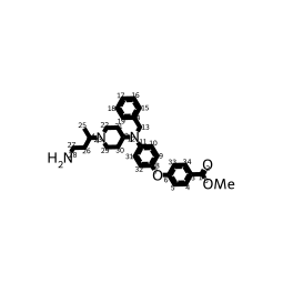 COC(=O)c1ccc(Oc2ccc(N(Cc3ccccc3)C3CCN(C(C)CCN)CC3)cc2)cc1